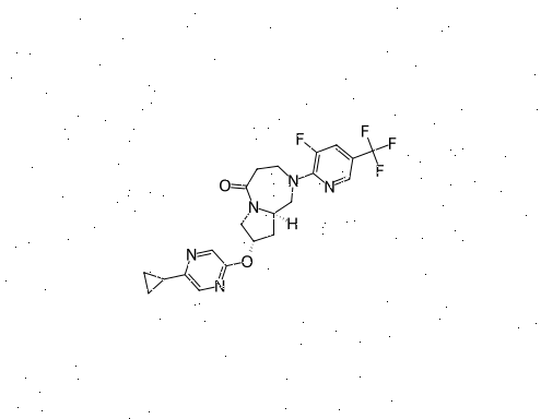 O=C1CCN(c2ncc(C(F)(F)F)cc2F)C[C@H]2C[C@H](Oc3cnc(C4CC4)cn3)CN12